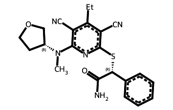 CCc1c(C#N)c(S[C@@H](C(N)=O)c2ccccc2)nc(N(C)[C@@H]2CCOC2)c1C#N